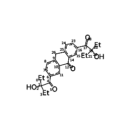 CCC(O)(CC)C(=O)c1ccc2c(c1)C(=O)c1cc(C(=O)C(O)(CC)CC)ccc1C2